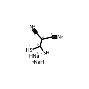 N#CC(C#N)C(S)S.[NaH].[NaH]